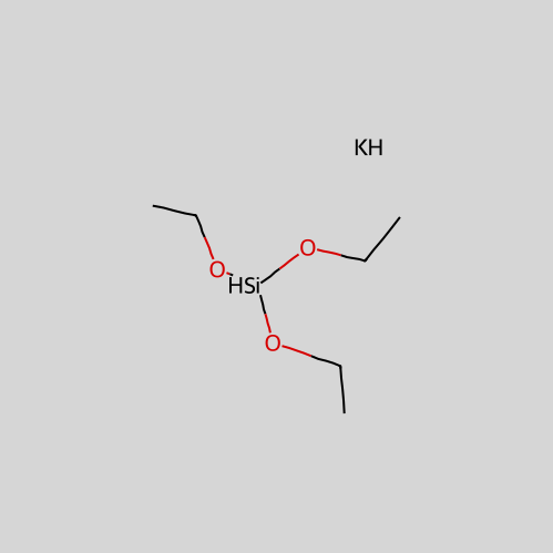 CCO[SiH](OCC)OCC.[KH]